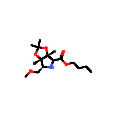 CCCCOC(=O)C1N[C@H](COC)[C@H]2OC(C)(C)O[C@@H]12